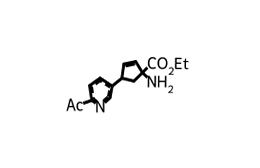 CCOC(=O)C1(N)C=CC(c2ccc(C(C)=O)nc2)C1